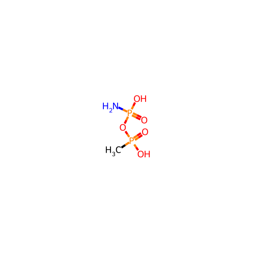 CP(=O)(O)OP(N)(=O)O